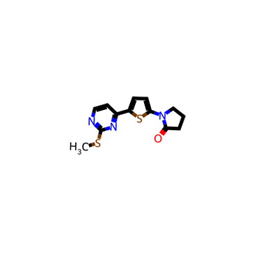 CSc1nccc(-c2ccc(N3CCCC3=O)s2)n1